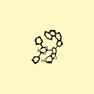 C1=Cc2oc3cc(-c4ccc5ccc6ccc7ccccc7c6c5c4)cc(-c4nc(-c5ccccc5)nc(-c5ccccc5)n4)c3c2CN1